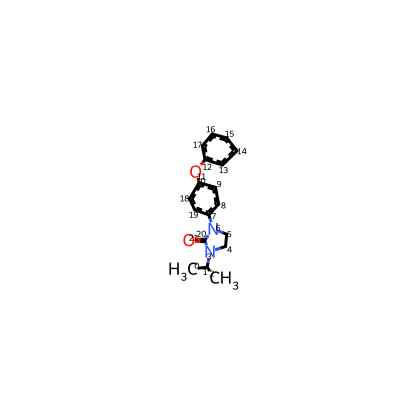 CC(C)N1CCN(c2ccc(Oc3ccccc3)cc2)C1=O